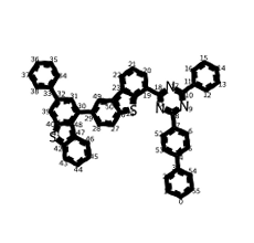 c1ccc(-c2ccc(-c3nc(-c4ccccc4)nc(-c4cccc5c4sc4ccc(-c6cc(-c7ccccc7)cc7sc8ccccc8c67)cc45)n3)cc2)cc1